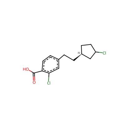 O=C(O)c1ccc(CC[C@H]2CCC(Cl)C2)cc1Cl